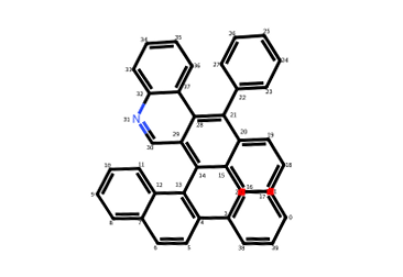 c1ccc(-c2ccc3ccccc3c2-c2c3ccccc3c(-c3ccccc3)c3c2cnc2ccccc23)cc1